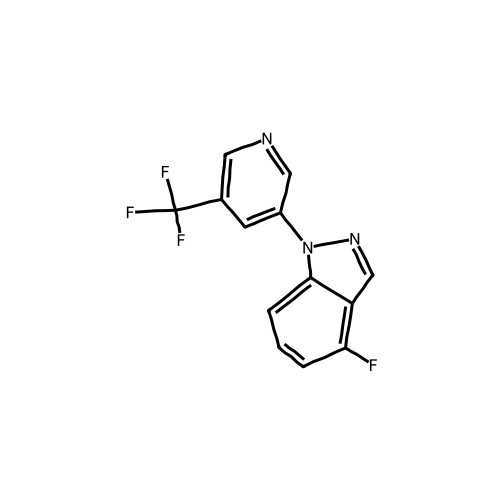 Fc1cccc2c1cnn2-c1cncc(C(F)(F)F)c1